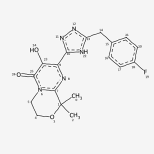 CC1(C)OCCn2c1nc(-c1nnc(Cc3ccc(F)cc3)[nH]1)c(O)c2=O